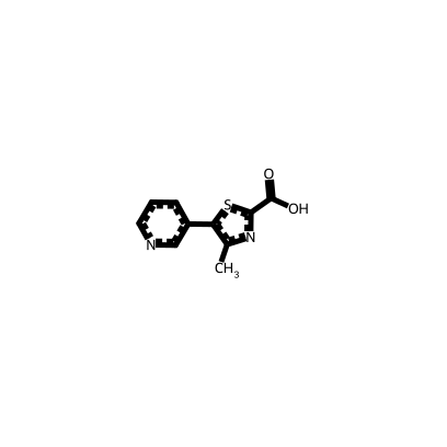 Cc1nc(C(=O)O)sc1-c1cccnc1